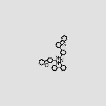 c1ccc(-c2ccccc2-c2nc(-c3cccc(-c4cccc5c4sc4ccccc45)c3)nc(-c3ccc4c(c3)oc3ccccc34)n2)cc1